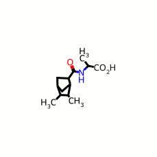 CC(NC(=O)C1CC2CC1C(C)C2C)C(=O)O